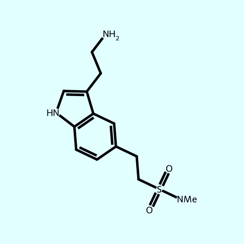 CNS(=O)(=O)CCc1ccc2[nH]cc(CCN)c2c1